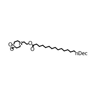 CCCCCCCCCCCCCCCCCCCCCCCC(=O)OCCN1CCS(=O)(=O)CC1